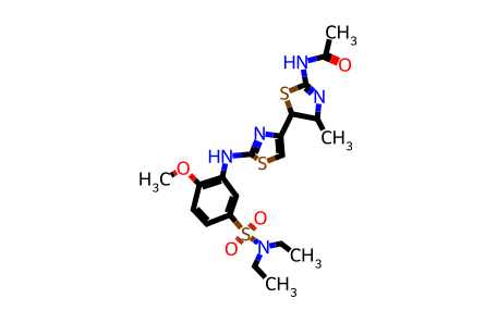 CCN(CC)S(=O)(=O)c1ccc(OC)c(Nc2nc(C3SC(NC(C)=O)=NC3C)cs2)c1